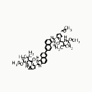 COC[C@H]1C[C@@H](c2nc3ccc4cc(-c5ccc6c(ccc7nc([C@@H]8CC9C[C@H]9N8C(=O)[C@@H](NC(=O)OC)C(C)C)[nH]c76)c5)ccc4c3[nH]2)N(C(=O)[C@@H](NC(=O)OC)C(C)C)C1